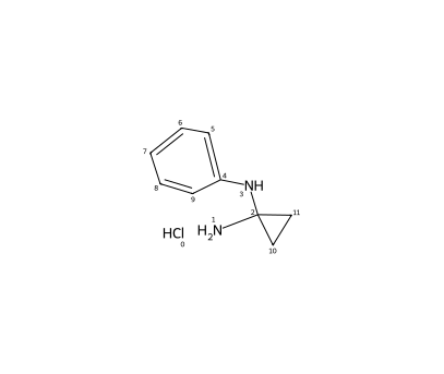 Cl.NC1(Nc2ccccc2)CC1